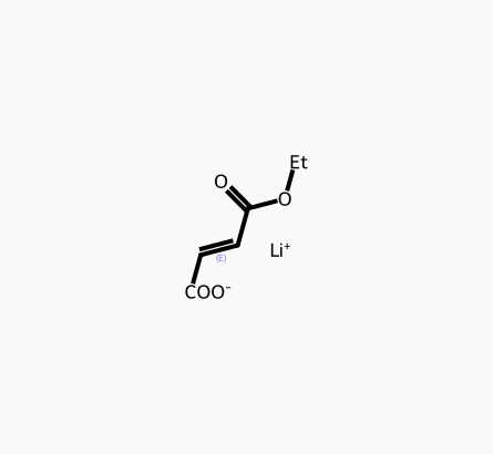 CCOC(=O)/C=C/C(=O)[O-].[Li+]